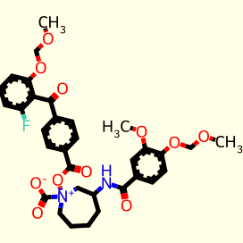 COCOc1ccc(C(=O)NC2CCCC[N+](OC(=O)c3ccc(C(=O)c4c(F)cccc4OCOC)cc3)(C(=O)[O-])C2)cc1OC